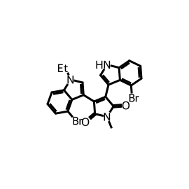 CCn1cc(C2=C(c3c[nH]c4cccc(Br)c34)C(=O)N(C)C2=O)c2c(Br)cccc21